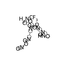 Nc1c(Cl)cc(C[C@@H](OC(=O)N2CCC(N3CCc4ccccc4NC3=O)CC2)C(=O)N2CCC(C3CCN(CC(=O)OCCN4CCOCC4)CC3)CC2)cc1C(F)(F)F